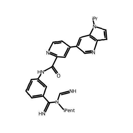 CCCC(C)N(C=N)C(=N)c1cccc(NC(=O)c2cc(-c3cnc4ccn(C(C)C)c4c3)ccn2)c1